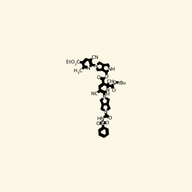 CCOC(=O)c1cc(C#N)c(N2CC3CNC(OC(=O)C4=CC(C#N)=C(N5CC6CN(C(=O)NS(=O)(=O)c7ccccc7)CC6C5)NC4(C)C(=O)OC(C)(C)C)C3C2)nc1C